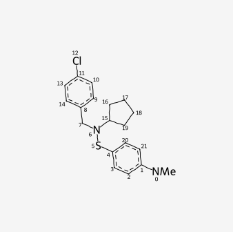 CNc1ccc(SN(Cc2ccc(Cl)cc2)C2CCCC2)cc1